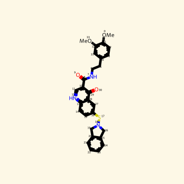 COc1ccc(CCNC(=O)c2c[nH]c3ccc(SN4Cc5ccccc5C4)cc3c2=O)cc1OC